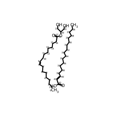 CCCCCCCC/C=C\CCCCCCCC(=O)OC(CO)CO.CCCCCCCCCCCCCCCC=CC(=O)O